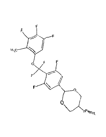 CCCCCC1COC(c2cc(F)c(C(F)(F)Oc3cc(F)c(F)c(F)c3C)c(F)c2)OC1